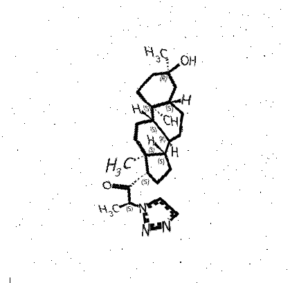 C[C@@H](C(=O)[C@H]1CC[C@H]2[C@@H]3CC[C@H]4C[C@](C)(O)CC[C@]4(C)[C@H]3CC[C@]12C)n1ccnn1